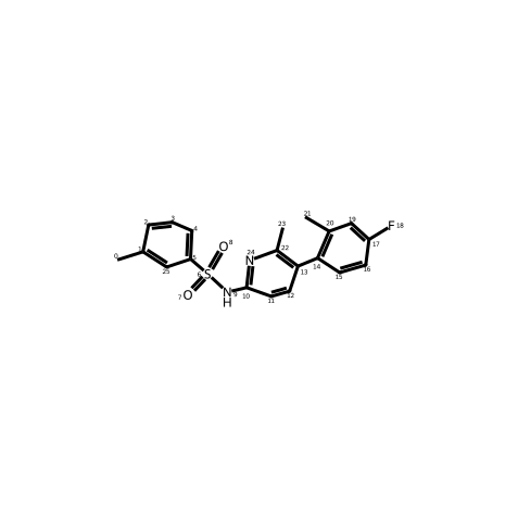 Cc1cccc(S(=O)(=O)Nc2ccc(-c3ccc(F)cc3C)c(C)n2)c1